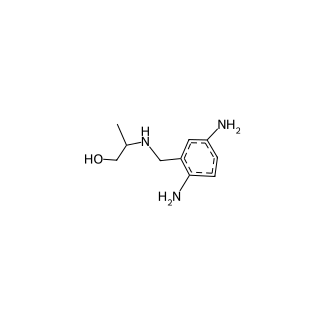 CC(CO)NCc1cc(N)ccc1N